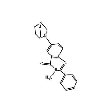 Cn1c(-c2ccccc2)nc2ccc(N3CCN4CCC3CC4)cc2c1=O